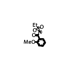 CCS(=O)(=O)[N]C(=O)c1ccccc1OC